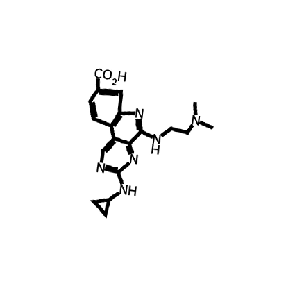 CN(C)CCNc1nc2cc(C(=O)O)ccc2c2cnc(NC3CC3)nc12